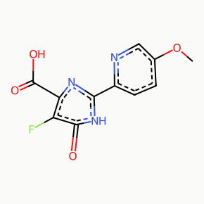 COc1ccc(-c2nc(C(=O)O)c(F)c(=O)[nH]2)nc1